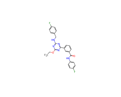 O=C(Nc1ccc(F)cc1)c1cccc(-c2nc(NCc3ccc(F)cc3)nc(OCC(F)(F)F)n2)c1